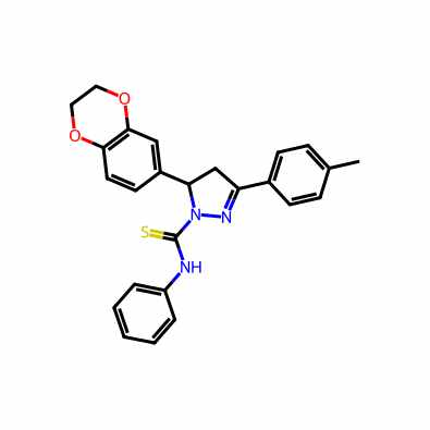 Cc1ccc(C2=NN(C(=S)Nc3ccccc3)C(c3ccc4c(c3)OCCO4)C2)cc1